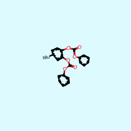 CC(C)(C)c1ccc(OC(=O)Oc2ccccc2)c(OC(=O)Oc2ccccc2)c1